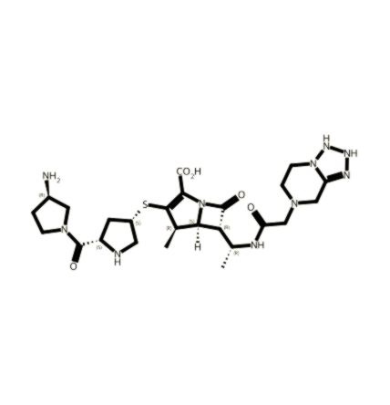 C[C@@H](NC(=O)CN1CCN2NNN=C2C1)[C@H]1C(=O)N2C(C(=O)O)=C(S[C@@H]3CN[C@H](C(=O)N4CC[C@@H](N)C4)C3)[C@H](C)[C@H]12